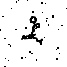 CC(=O)OC(C)(CCC=C(C)C)CCCC(=O)c1ccccc1